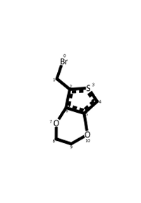 BrCc1scc2c1OCCO2